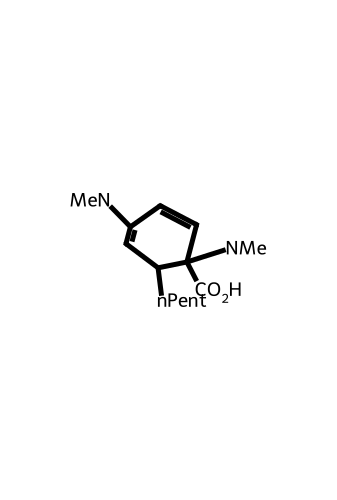 CCCCCC1C=C(NC)C=CC1(NC)C(=O)O